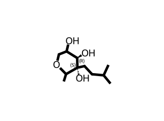 CC(C)CC[C@@]1(O)C(C)OCC(O)[C@H]1O